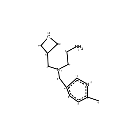 Cc1ccc(CN(CCN)CC2COC2)cn1